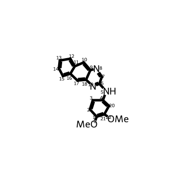 COc1ccc(Nc2cnc3cc4ccccc4cc3n2)cc1OC